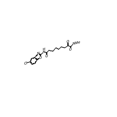 CNC(=O)C(=O)CCCCCCC(=O)Nc1nc2cc(Cl)ccc2o1